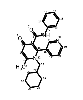 Cc1cc(=O)c(C(=O)Nc2ccccc2)c(-c2cccnc2)n1CC1CCCCC1